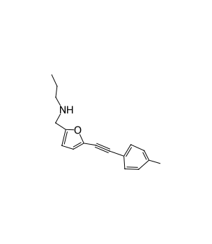 CCCNCc1ccc(C#Cc2ccc(C)cc2)o1